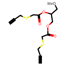 C#CCSCC(=O)OCC(COC)OC(=O)CSCC#C